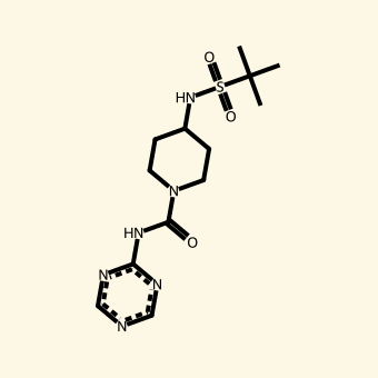 CC(C)(C)S(=O)(=O)NC1CCN(C(=O)Nc2ncncn2)CC1